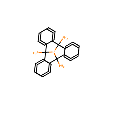 PC(C1CCCCC1)(C1CCCCC1)P(C(P)(C1CCCCC1)C1CCCCC1)C(P)(C1CCCCC1)C1CCCCC1